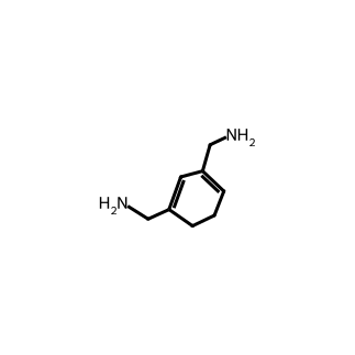 NCC1=CCCC(CN)=C1